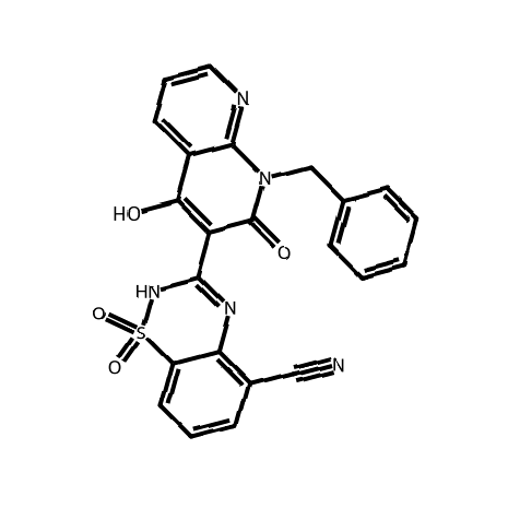 N#Cc1cccc2c1N=C(c1c(O)c3cccnc3n(Cc3ccccc3)c1=O)NS2(=O)=O